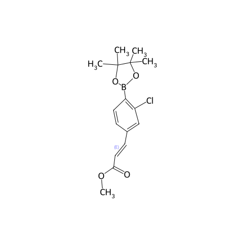 COC(=O)/C=C/c1ccc(B2OC(C)(C)C(C)(C)O2)c(Cl)c1